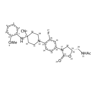 [C-]#[N+]C1(Nc2ccccc2OC)CCN(c2ccc(N3C[C@H](CNC(C)=O)OC3=O)cc2F)CC1